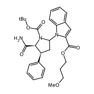 COCCCOC(=O)c1cc2ccccc2n1C1C[C@@H](c2ccccc2)[C@@H](C(N)=O)N1C(=O)OC(C)(C)C